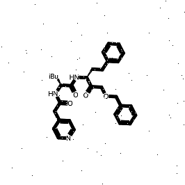 CCC(C)[C@H](NC(=O)Cc1ccncc1)C(=O)N[C@@H](CCc1ccccc1)C(=O)COCc1ccccc1